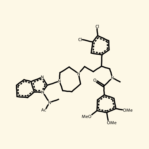 COc1cc(C(=O)N(C)CC(CCN2CCCN(c3nc4ccccc4n3N(C)C(C)=O)CC2)c2ccc(Cl)c(Cl)c2)cc(OC)c1OC